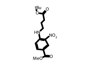 COC(=O)c1ccc(NCCCC(=O)OC(C)(C)C)c([N+](=O)[O-])c1